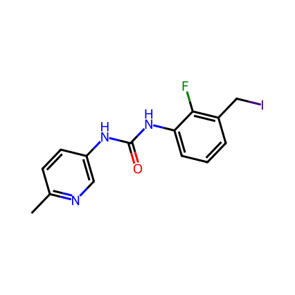 Cc1ccc(NC(=O)Nc2cccc(CI)c2F)cn1